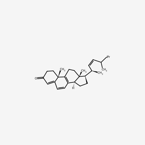 CC(C)C(C)/C=C\[C@@H](C)[C@H]1CC[C@H]2C3=C(CC[C@]12C)[C@@]1(C)CCC(=O)C=C1C=C3